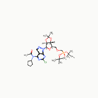 CC(=O)N(c1nc(Cl)nc2c1cnn2[C@@H]1O[C@H](COCP(=O)(OC(C)(C)C)OC(C)(C)C)[C@H]2OC(C)(C)O[C@H]21)C1CCCC1